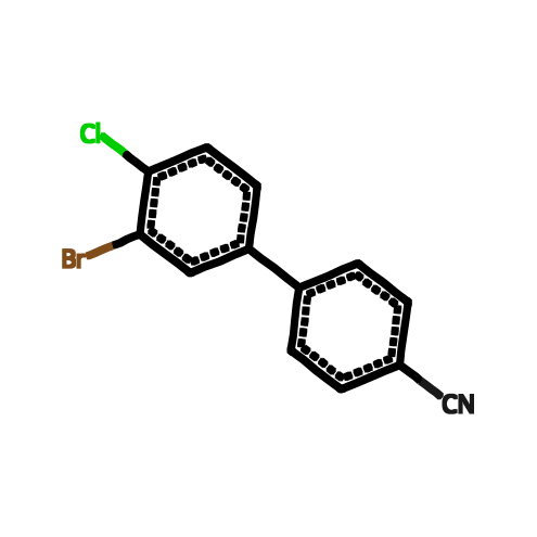 N#Cc1ccc(-c2ccc(Cl)c(Br)c2)cc1